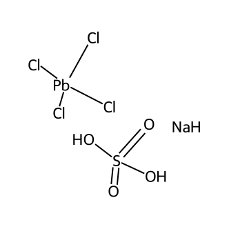 O=S(=O)(O)O.[Cl][Pb]([Cl])([Cl])[Cl].[NaH]